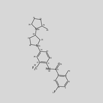 Cc1ccc(F)cc1C(=O)Nc1ccc(N2CCC(N3CCCC3C)C2)cc1C(F)(F)F